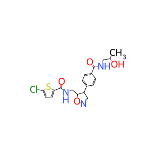 CC(O)CNC(=O)c1ccc(C2C=NOC2CNC(=O)c2ccc(Cl)s2)cc1